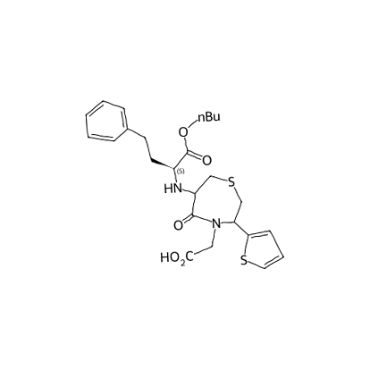 CCCCOC(=O)[C@H](CCc1ccccc1)NC1CSCC(c2cccs2)N(CC(=O)O)C1=O